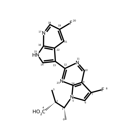 C[C@H]([C@@H](C)C(=O)O)n1cc(F)c2cnc(-c3c[nH]c4ncc(F)cc34)nc21